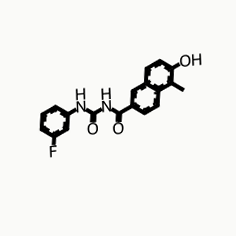 Cc1c(O)ccc2cc(C(=O)NC(=O)Nc3cccc(F)c3)ccc12